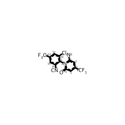 [N]c1cc(C(F)(F)F)cc(=O)n1-c1c(Cl)cc(C(F)(F)F)cc1C#N